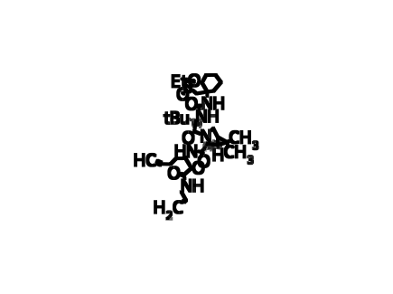 C#CCCC(NC(=O)[C@@H]1[C@@H]2C(CN1C(=O)[C@@H](NC(=O)NC1(CS(=O)(=O)CC)CCCCC1)C(C)(C)C)C2(C)C)C(=O)C(=O)NCC=C